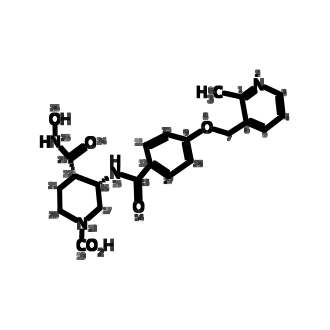 Cc1ncccc1COc1ccc(C(=O)N[C@@H]2CN(C(=O)O)CC[C@@H]2C(=O)NO)cc1